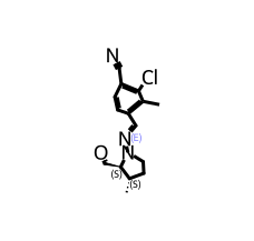 Cc1c(/C=N/N2CC[C@H](C)[C@H]2C=O)ccc(C#N)c1Cl